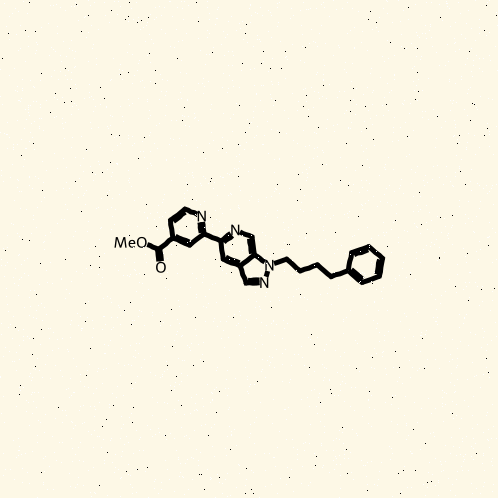 COC(=O)c1ccnc(-c2cc3cnn(CCCCc4ccccc4)c3cn2)c1